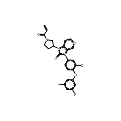 C=CC(=O)N1CCC(n2c(=O)n(-c3ccc(Oc4cc(F)cc(F)c4)c(Cl)c3)c3cnccc32)C1